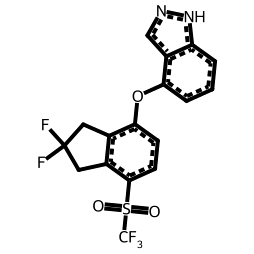 O=S(=O)(c1ccc(Oc2cccc3[nH]ncc23)c2c1CC(F)(F)C2)C(F)(F)F